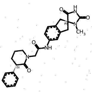 CN1C(=O)NC(=O)[C@]12Cc1ccc(NC(=O)CN3CCC[C@@H](c4ccccc4)C3=O)cc1C2